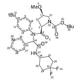 CO[C@@H]1C[C@H](C(=O)N(c2ccc(C(C)(C)C)cc2)C(C(=O)NC2CCC(F)(F)CC2)c2cccnc2)N(C(=O)OC(C)(C)C)C1